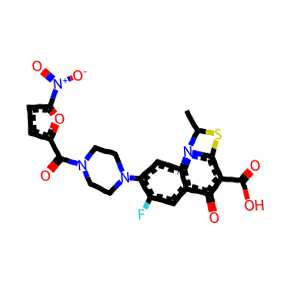 CC1Sc2c(C(=O)O)c(=O)c3cc(F)c(N4CCN(C(=O)c5ccc([N+](=O)[O-])o5)CC4)cc3n21